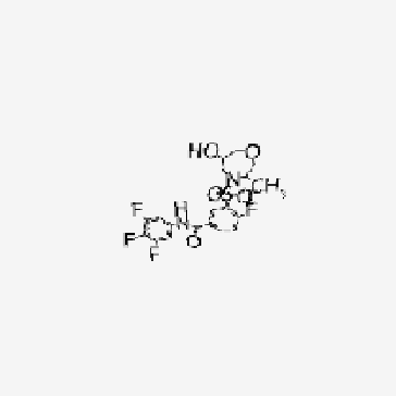 CC1COCC(O)CN1S(=O)(=O)c1cc(C(=O)Nc2cc(F)c(F)c(F)c2)ccc1F